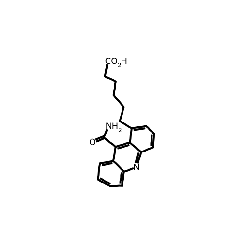 NC(=O)c1c2ccccc2nc2cccc(CCCCCC(=O)O)c12